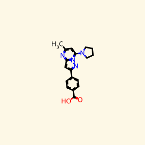 Cc1cc(N2CCCC2)n2nc(-c3ccc(C(=O)O)cc3)cc2n1